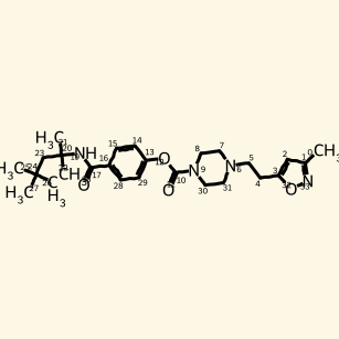 Cc1cc(CCN2CCN(C(=O)Oc3ccc(C(=O)NC(C)(C)CC(C)(C)C)cc3)CC2)on1